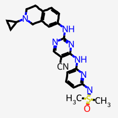 CS(C)(=O)=Nc1cccc(Nc2nc(Nc3ccc4c(c3)CN(C3CC3)CC4)ncc2C#N)n1